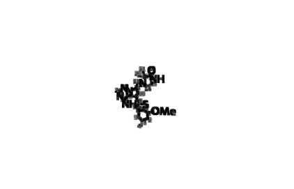 COc1cc(C)cc2cc(-c3cc(CN4CCNC(=O)C4(C)C)n4ncnc(N)c34)sc12